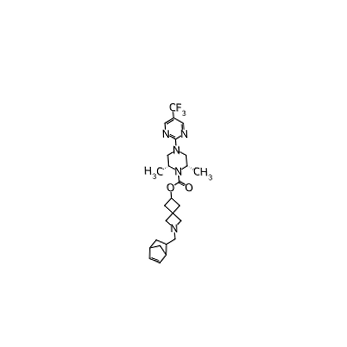 C[C@@H]1CN(c2ncc(C(F)(F)F)cn2)C[C@H](C)N1C(=O)OC1CC2(C1)CN(CC1CC3C=CC1C3)C2